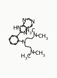 CN(C)CCN(CCN(C)C)c1ccccc1-c1nc2cncnc2[nH]1